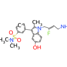 Cc1c(-c2cccc(S(=O)(=O)N(C)C)c2)c2cc(O)ccc2n1C/C(F)=C/CN